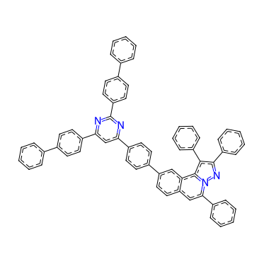 c1ccc(-c2ccc(-c3cc(-c4ccc(-c5ccc6cc(-c7ccccc7)n7nc(-c8ccccc8)c(-c8ccccc8)c7c6c5)cc4)nc(-c4ccc(-c5ccccc5)cc4)n3)cc2)cc1